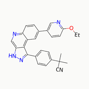 CCOc1ccc(-c2ccc3ncc4[nH]nc(-c5ccc(C(C)(C)C#N)cc5)c4c3c2)cn1